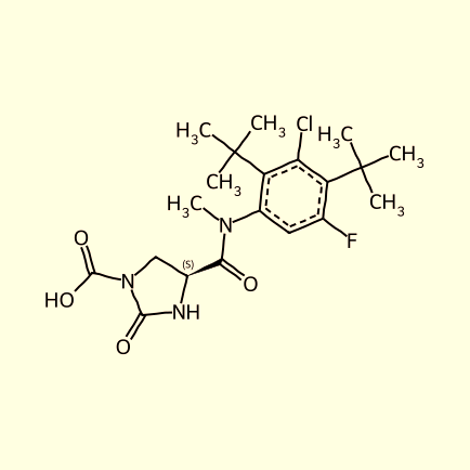 CN(C(=O)[C@@H]1CN(C(=O)O)C(=O)N1)c1cc(F)c(C(C)(C)C)c(Cl)c1C(C)(C)C